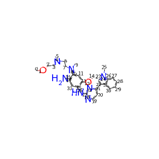 COCCN(C)CCN(C)c1cc(OC)c(Nc2nccc(-c3cn(C)c4ccccc34)n2)cc1N